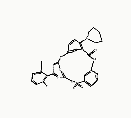 Cc1cccc(C)c1-c1cc2nc(n1)NS(=O)(=O)c1cccc(c1)NC(=O)c1cc(ccc1N1CCCCC1)O2